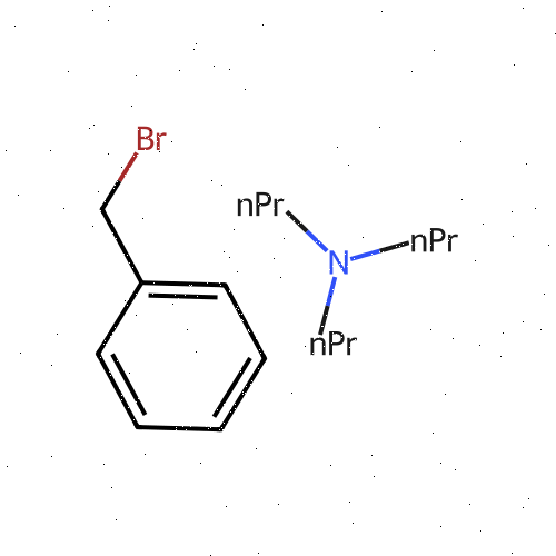 BrCc1ccccc1.CCCN(CCC)CCC